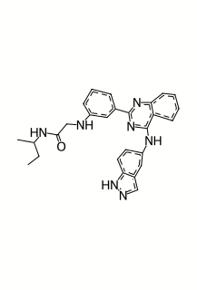 CCC(C)NC(=O)CNc1cccc(-c2nc(Nc3ccc4[nH]ncc4c3)c3ccccc3n2)c1